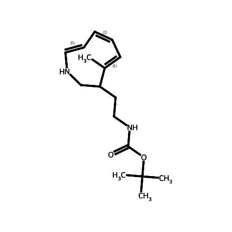 C\C1=C/C=C\C=C\NCC1CCNC(=O)OC(C)(C)C